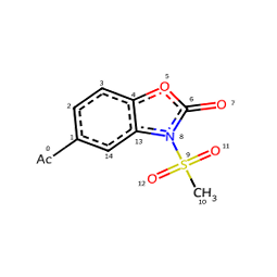 CC(=O)c1ccc2oc(=O)n(S(C)(=O)=O)c2c1